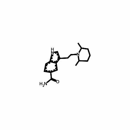 CC1CCCC(C)N1CCc1c[nH]c2ccc(C(N)=O)cc12